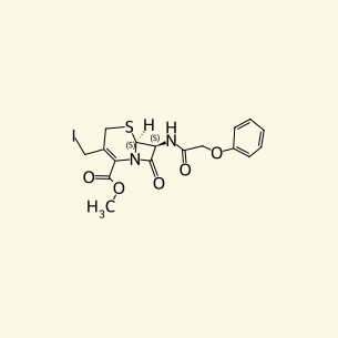 COC(=O)C1=C(CI)CS[C@H]2[C@@H](NC(=O)COc3ccccc3)C(=O)N12